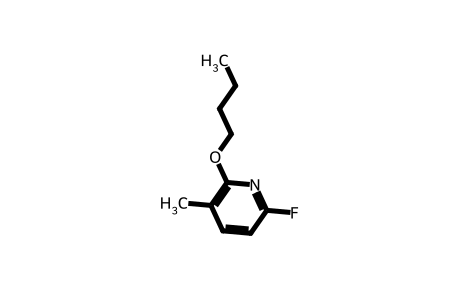 CCCCOc1nc(F)ccc1C